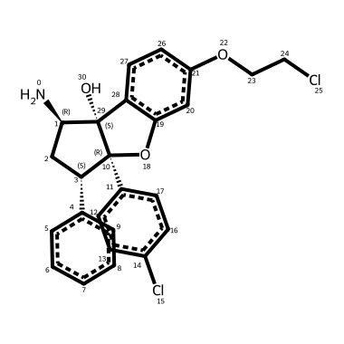 N[C@@H]1C[C@@H](c2ccccc2)[C@]2(c3ccc(Cl)cc3)Oc3cc(OCCCl)ccc3[C@]12O